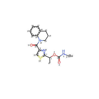 CC(OC(=O)NC(C)(C)C)c1nc(C(=O)N2CCCc3ccccc32)cs1